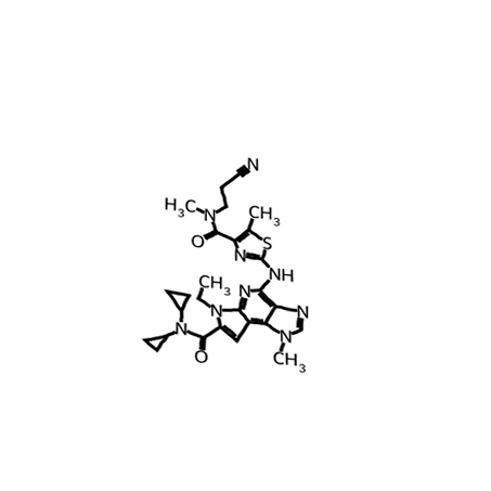 CCn1c(C(=O)N(C2CC2)C2CC2)cc2c3c(ncn3C)c(Nc3nc(C(=O)N(C)CCC#N)c(C)s3)nc21